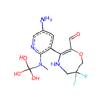 CN(c1ncc(N)cc1C1=C(C=O)OCC(F)(F)CN1)C(O)(O)O